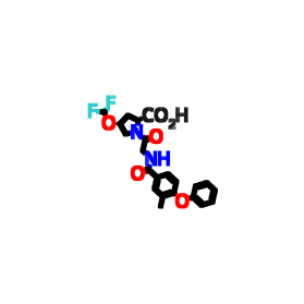 Cc1cc(C(=O)NCC(=O)N2C[C@H](OC(F)F)C[C@H]2C(=O)O)ccc1Oc1ccccc1